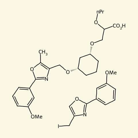 CCCOC(CO[C@@H]1CCC[C@H](OCc2nc(-c3cccc(OC)c3)oc2C)C1)C(=O)O.COc1cccc(-c2nc(CI)co2)c1